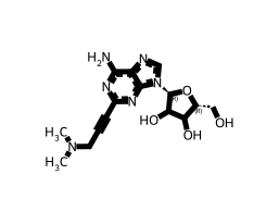 CN(C)CC#Cc1nc(N)c2ncn([C@@H]3O[C@H](CO)C(O)C3O)c2n1